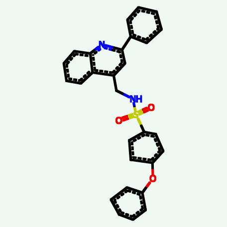 O=S(=O)(NCc1cc(-c2ccccc2)nc2ccccc12)c1ccc(Oc2ccccc2)cc1